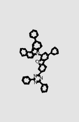 c1ccc(-c2cc(-n3c4ccc(-c5ccccc5)cc4c4c5ccccc5ccc43)c3oc4cc(-c5nc(-c6ccccc6)nc(-c6ccccc6)n5)ccc4c3c2)cc1